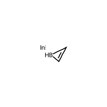 B1C=C1.[In]